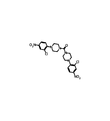 O=C(N1CCN(c2ccc([N+](=O)[O-])cc2Cl)CC1)N1CCN(c2ccc([N+](=O)[O-])cc2Cl)CC1